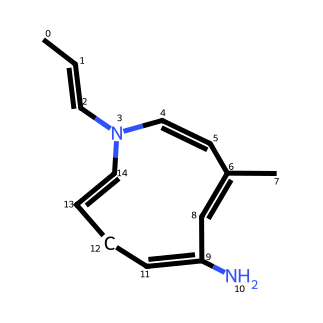 C/C=C/N1/C=C\C(C)=C\C(N)=CC/C=C/1